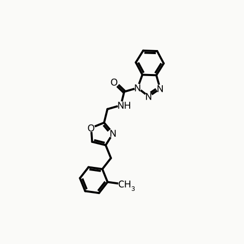 Cc1ccccc1Cc1coc(CNC(=O)n2nnc3ccccc32)n1